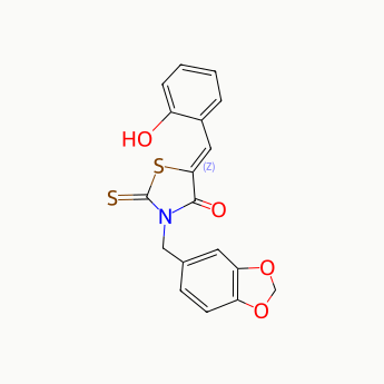 O=C1/C(=C/c2ccccc2O)SC(=S)N1Cc1ccc2c(c1)OCO2